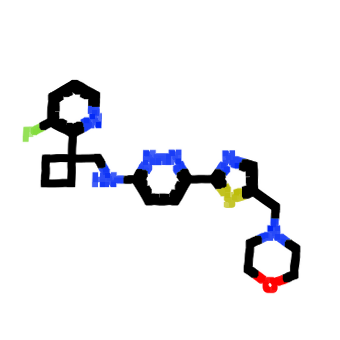 Fc1cccnc1C1(CNc2ccc(-c3ncc(CN4CCOCC4)s3)nn2)CCC1